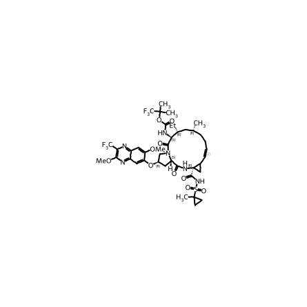 CC[C@@H]1C[C@H](C)CC/C=C\C2C[C@@]2(C(=O)NS(=O)(=O)C2(C)CC2)NC(=O)[C@@H]2C[C@@H](Oc3cc4nc(OC)c(C(F)(F)F)nc4cc3OC)CN2C(=O)[C@H]1NC(=O)OC(C)(C)C(F)(F)F